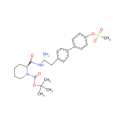 CC(C)(C)OC(=O)N1CCCC[C@H]1C(=O)N[C@H](N)Cc1ccc(-c2ccc(OS(C)(=O)=O)cc2)cc1